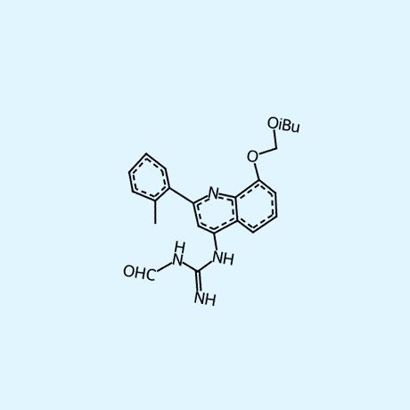 Cc1ccccc1-c1cc(NC(=N)NC=O)c2cccc(OCOCC(C)C)c2n1